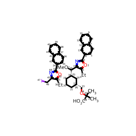 CCc1oc(-c2ccc3ccccc3c2)nc1C(OC)[C@H]1CCC[C@@H](COC(C)(C)C(=O)O)C1.CCc1oc(-c2ccc3ccccc3c2)nc1CI